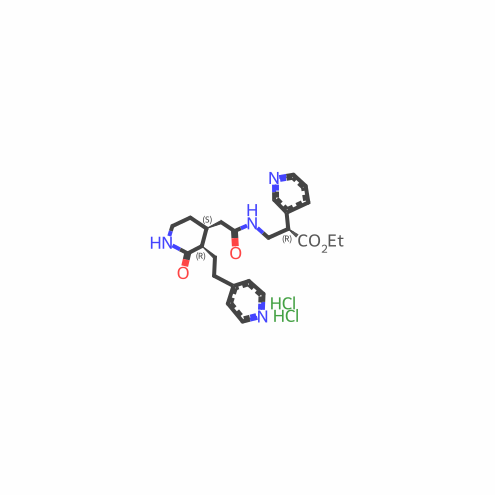 CCOC(=O)[C@@H](CNC(=O)C[C@@H]1CCNC(=O)[C@@H]1CCc1ccncc1)c1cccnc1.Cl.Cl